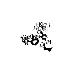 COc1c(Nc2cc(NC(=O)[C@@H]3CC34CC4)ncc2C(=O)NC(O)(O)O)cccc1-c1ncn(C)n1